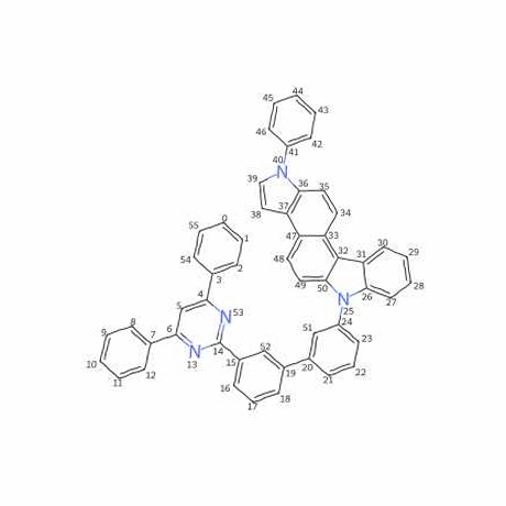 c1ccc(-c2cc(-c3ccccc3)nc(-c3cccc(-c4cccc(-n5c6ccccc6c6c7ccc8c(ccn8-c8ccccc8)c7ccc65)c4)c3)n2)cc1